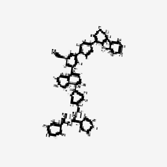 N#Cc1cc(-c2ccc(C3=CCCc4c3oc3ccccc43)cc2)cc(-c2ccc(-c3ccc(CN/C(=N\C(=N)c4ccccc4)c4ccccc4)cc3)c3ccccc23)c1